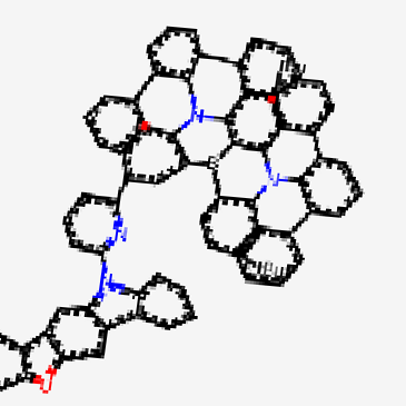 CC(C)(C)c1ccc2c(c1)N(c1c(-c3ccccc3)cccc1-c1ccccc1)c1cc(C(C)(C)C)cc3c1B2c1cc(-c2cccc(-n4c5ccccc5c5cc6oc7ccccc7c6cc54)n2)ccc1N3c1c(-c2ccccc2)cccc1-c1ccccc1